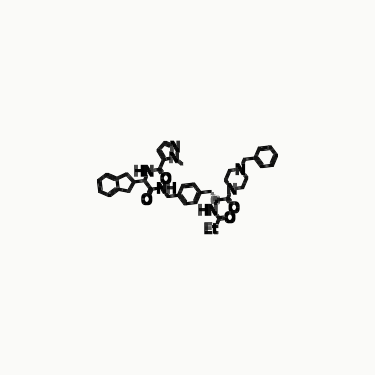 CCC(=O)N[C@H](Cc1ccc(CNC(=O)C(NC(=O)c2ccnn2C)C2Cc3ccccc3C2)cc1)C(=O)N1CCN(Cc2ccccc2)CC1